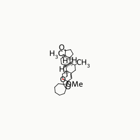 COC1(OC[C@]23CCC(=O)C=C2CC(C)[C@@H]2[C@H]3CC[C@]3(C)C(=O)CC[C@@H]23)CCCCCC1